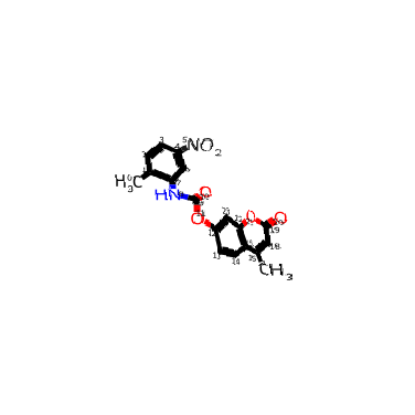 Cc1ccc([N+](=O)[O-])cc1NC(=O)Oc1ccc2c(C)cc(=O)oc2c1